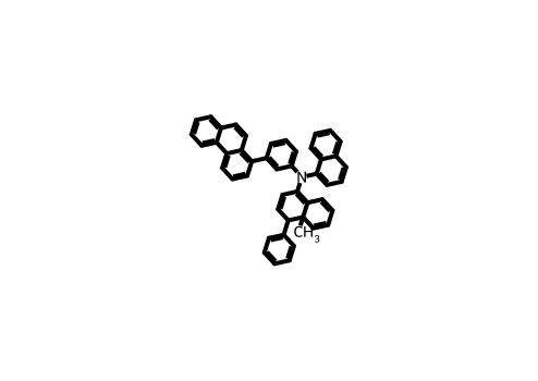 CC12C=CC=CC1=C(N(c1cccc(-c3cccc4c3ccc3ccccc34)c1)c1cccc3ccccc13)C=CC2c1ccccc1